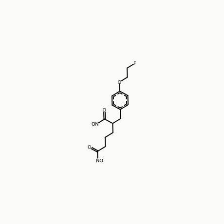 O=NC(=O)CCCC(Cc1ccc(OCCF)cc1)C(=O)N=O